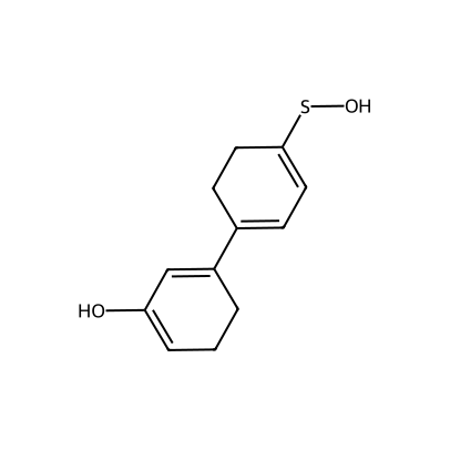 OSC1=CC=C(C2=CC(O)=CCC2)CC1